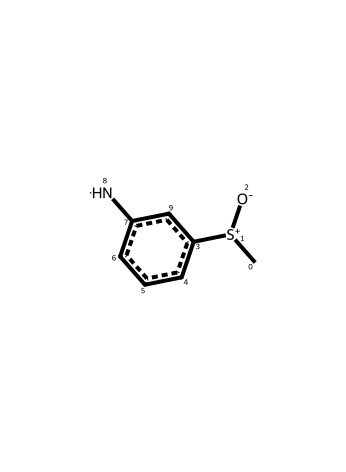 C[S+]([O-])c1cccc([NH])c1